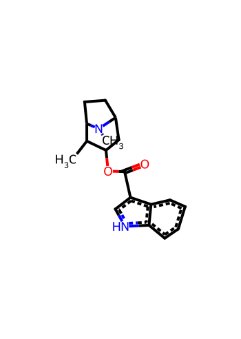 CC1C(OC(=O)c2c[nH]c3ccccc23)CC2CCC1N2C